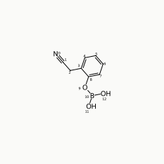 N#CCc1ccccc1OB(O)O